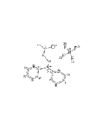 CC(Cl)CC[S+](c1ccccc1)c1ccccc1.F[B-](F)(F)F